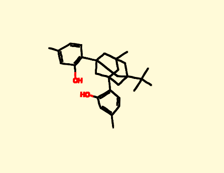 Cc1ccc(C23CC4(C)CC(c5ccc(C)cc5O)(C2)CC(C(C)(C)C)(C4)C3)c(O)c1